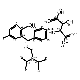 Cc1ccc(O)c([C@@H](CCN(C(C)C)C(C)C)c2ccccc2)c1.O=C(O)C(O)C(O)C(=O)O